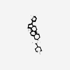 CN1CCC(C(=O)O[C@H]2CC[C@@]3(C)C(=CC[C@H]4C5=CC=C(c6cccnc6)[C@@]5(C)CC[C@@H]43)C2)CC1